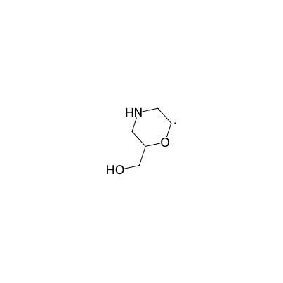 OCC1CNC[CH]O1